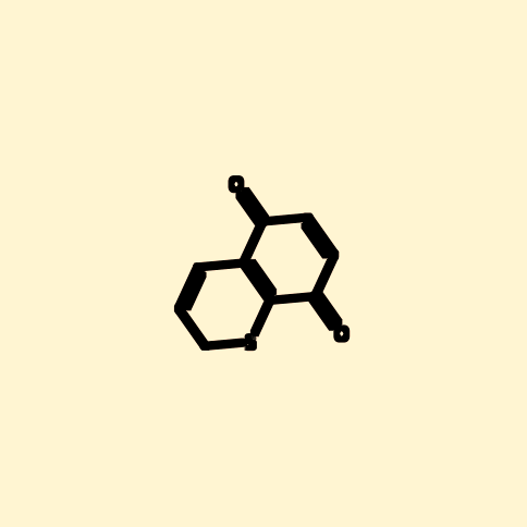 O=C1C=CC(=O)C2=C1C=CCS2